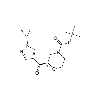 CC(C)(C)OC(=O)N1CCO[C@@H](C(=O)c2cnn(C3CC3)c2)C1